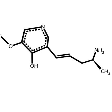 CC(C)Oc1cncc(/C=C/C[C@H](C)N)c1O